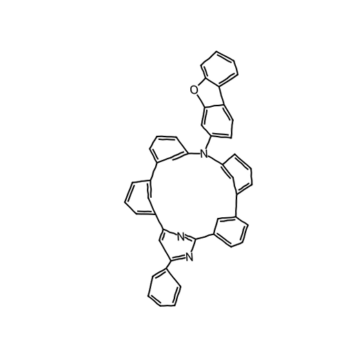 c1ccc(-c2cc3nc(n2)-c2cccc(c2)-c2cccc(c2)N(c2ccc4c(c2)oc2ccccc24)c2cccc(c2)-c2cccc-3c2)cc1